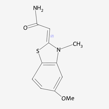 COc1ccc2c(c1)N(C)/C(=C/C(N)=O)S2